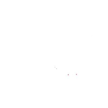 c1ccc(-c2ccccc2N(c2cccc3c2oc2c(-c4ccccc4)c4c(cc23)oc2ccccc24)c2cccc3c2sc2ccccc23)cc1